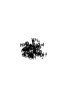 NCCCC[C@H](NC(=O)[C@H](CCC(=O)O)NC(=O)[C@H](Cc1ccc(O)cc1)NC(=O)[C@@H](N)CCC(=O)O)C(=O)N[C@@H](CCC(=O)O)C(=O)N[C@@H](Cc1ccc(O)cc1)C(=O)N[C@@H](CCC(=O)O)C(=O)O